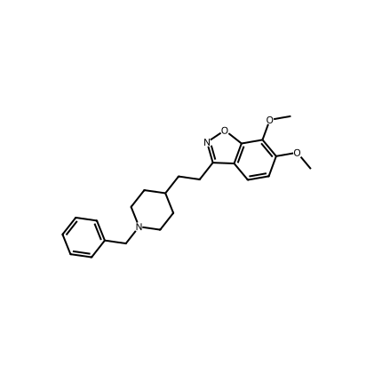 COc1ccc2c(CCC3CCN(Cc4ccccc4)CC3)noc2c1OC